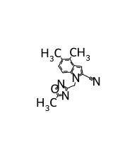 Cc1nc(Cn2c(C#N)cc3c(C)c(C)ccc32)no1